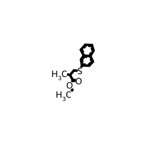 CCOC(=O)C(C)CSc1ccc2ccccc2c1